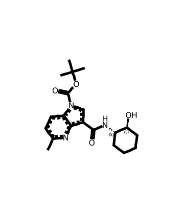 Cc1ccc2c(n1)c(C(=O)N[C@H]1CCCC[C@@H]1O)cn2C(=O)OC(C)(C)C